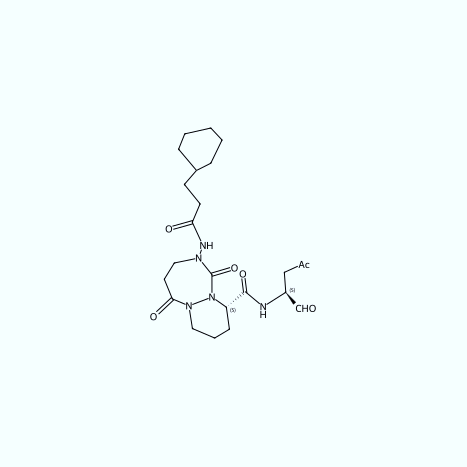 CC(=O)C[C@@H](C=O)NC(=O)[C@@H]1CCCN2C(=O)CCN(NC(=O)CCC3CCCCC3)C(=O)N12